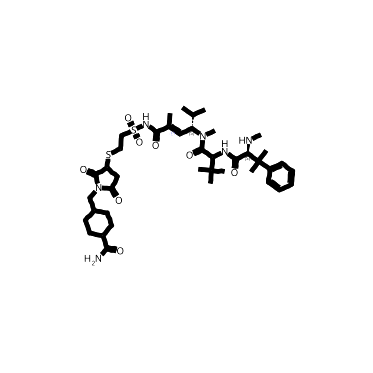 CN[C@H](C(=O)NC(C(=O)N(C)[C@H](/C=C(\C)C(=O)NS(=O)(=O)CCSC1CC(=O)N(CC2CCC(C(N)=O)CC2)C1=O)C(C)C)C(C)(C)C)C(C)(C)c1ccccc1